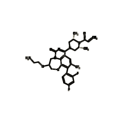 C=CC(=O)N1[C@H](C)CN(c2nc(=O)n3c4c(c(-c5ccc(F)cc5F)c(C(F)(F)F)cc24)SCC(OCCN)C3)C[C@@H]1C